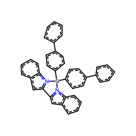 c1ccc(-c2ccc([Si]3(c4ccc(-c5ccccc5)cc4)n4c(cc5ccccc54)-c4cc5ccccc5n43)cc2)cc1